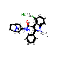 CN1C2CCC1CC(NC(=O)c1c(-c3ccccc3)n(C)c3cccc(F)c13)C2.Cl